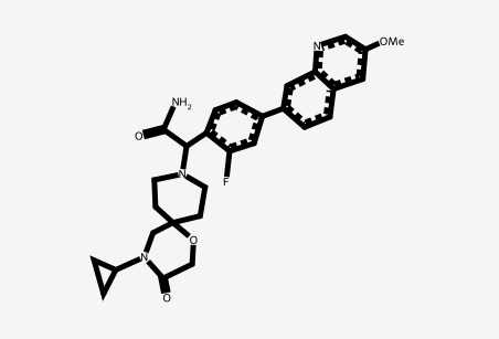 COc1cnc2cc(-c3ccc(C(C(N)=O)N4CCC5(CC4)CN(C4CC4)C(=O)CO5)c(F)c3)ccc2c1